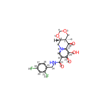 C[C@@]12COCO[C@H]1Cn1cc(C(=O)NCc3ccc(F)cc3F)c(=O)c(O)c1C2=O